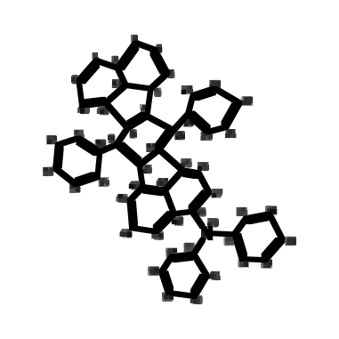 C1=CC2=CC=CC3c4c(c(-c5ccccc5)c5c(c4-c4ccccc4)-c4ccc(N(c6ccccc6)c6ccccc6)c6cccc-5c46)C(=C1)C23